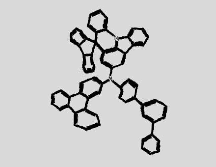 c1ccc(-c2cccc(-c3ccc(N(c4ccc5c6ccccc6c6ccccc6c5c4)c4cc5c6c(c4)c4ccccc4n6-c4ccccc4C54c5ccccc5-c5ccccc54)cc3)c2)cc1